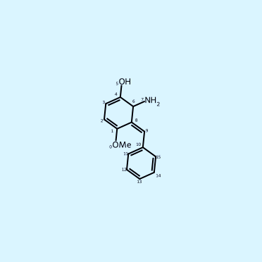 COC1=CC=C(O)C(N)C1=Cc1ccccc1